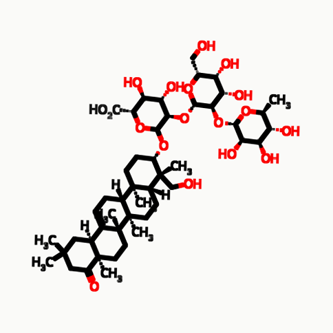 C[C@@H]1O[C@@H](O[C@H]2[C@H](O[C@H]3C(O[C@H]4CC[C@@]5(C)[C@@H](CC[C@]6(C)[C@@H]5CC=C5[C@@H]7CC(C)(C)CC(=O)[C@]7(C)CC[C@]56C)[C@@]4(C)CO)O[C@H](C(=O)O)[C@@H](O)[C@@H]3O)O[C@H](CO)[C@H](O)[C@@H]2O)[C@H](O)[C@H](O)[C@H]1O